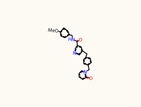 COc1ccc(CNC(=O)c2cncc(Cc3ccc(Cn4ccccc4=O)cc3)c2)cc1